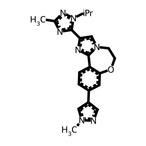 Cc1nc(-c2cn3c(n2)-c2ccc(-c4cnn(C)c4)cc2OCC3)n(C(C)C)n1